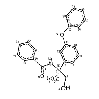 O=C(N[C@@](CO)(C(=O)O)c1cccc(Oc2ccccc2)c1)c1ccccc1